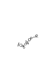 C[C@@H]1CCCN1CCCOc1ccc(-c2nc3c(s2)CC(C(=O)N2CCC(F)(F)CC2)C3)cc1